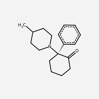 CC1CCN([C@]2(c3ccccc3)CCCCC2=O)CC1